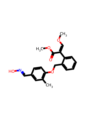 COC=C(C(=O)OC)c1ccccc1COc1ccc(C=NO)cc1C